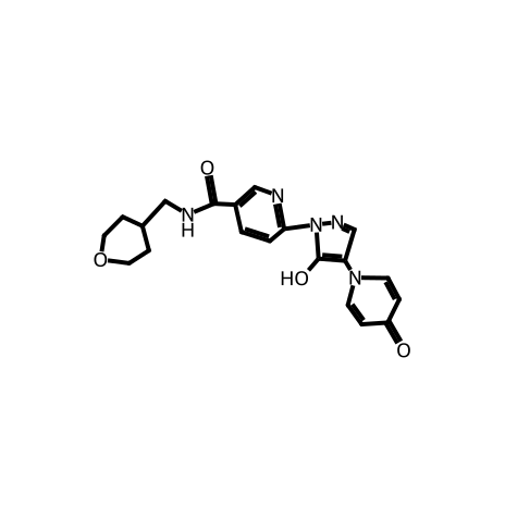 O=C(NCC1CCOCC1)c1ccc(-n2ncc(-n3ccc(=O)cc3)c2O)nc1